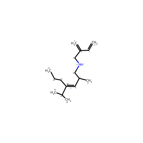 C=CC(=C)CNCC(C)/C=C(\CCC)C(C)C